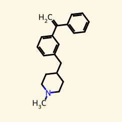 C=C(c1ccccc1)c1cccc(CC2CCN(C)CC2)c1